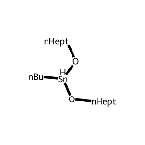 CCCCCCC[O][SnH]([CH2]CCC)[O]CCCCCCC